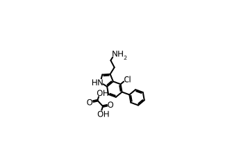 NCCc1c[nH]c2ccc(-c3ccccc3)c(Cl)c12.O=C(O)C(=O)O